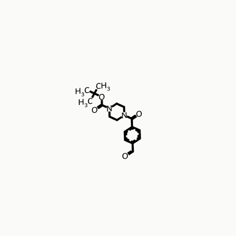 CC(C)(C)OC(=O)N1CCN(C(=O)c2ccc(C=O)cc2)CC1